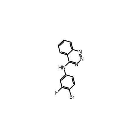 Fc1cc(Nc2nnnc3ccccc23)ccc1Br